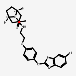 CC(=O)N1[C@@H]2CC[C@H]1CC(NCCOc1ccc(Oc3nc4ccc(Cl)cc4s3)cc1)C2